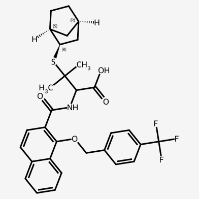 CC(C)(S[C@@H]1C[C@@H]2CC[C@H]1C2)C(NC(=O)c1ccc2ccccc2c1OCc1ccc(C(F)(F)F)cc1)C(=O)O